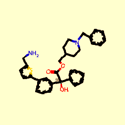 NCc1ccc(-c2cccc([C@](O)(C(=O)OCC3CCN(Cc4ccccc4)CC3)c3ccccc3)c2)s1